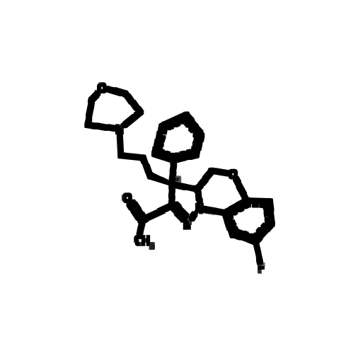 CC(=O)C1=NN2c3cc(F)ccc3OCC2[C@@]1(CCCN1CCOCC1)c1ccccc1